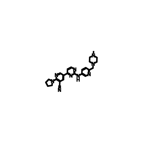 CN1CCN(Cc2ccc(Nc3nccc(-c4cnc(N5CCCC5)c(C#N)c4)n3)cn2)CC1